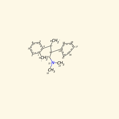 [CH2]c1ccccc1C([CH2])C(CN(C)C)c1ccccc1